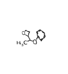 CC(Oc1ccccc1)C1CCO1